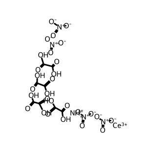 O=C(O)C(=O)O.O=C(O)C(=O)O.O=C(O)C(=O)O.O=C(O)C(=O)O.O=[N+]([O-])[O-].O=[N+]([O-])[O-].O=[N+]([O-])[O-].O=[N+]([O-])[O-].[Ce+3].[NH4+]